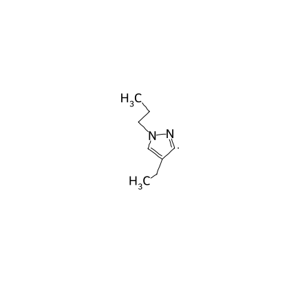 CCCn1cc(CC)[c]n1